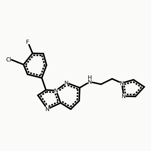 Fc1ccc(-c2cnc3ccc(NCCn4cccn4)nn23)cc1Cl